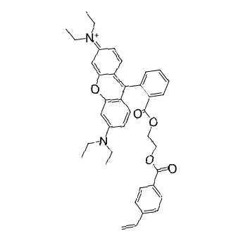 C=Cc1ccc(C(=O)OCCOC(=O)c2ccccc2-c2c3ccc(=[N+](CC)CC)cc-3oc3cc(N(CC)CC)ccc23)cc1